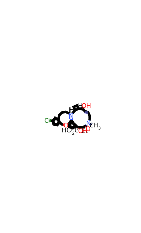 CCC1C(=O)N(C)CC/C=C/[C@H](O)[C@@H]2CC[C@H]2CN2CCCCc3cc(Cl)ccc3COc3ccc(cc32)[C@]1(O)C(=O)O